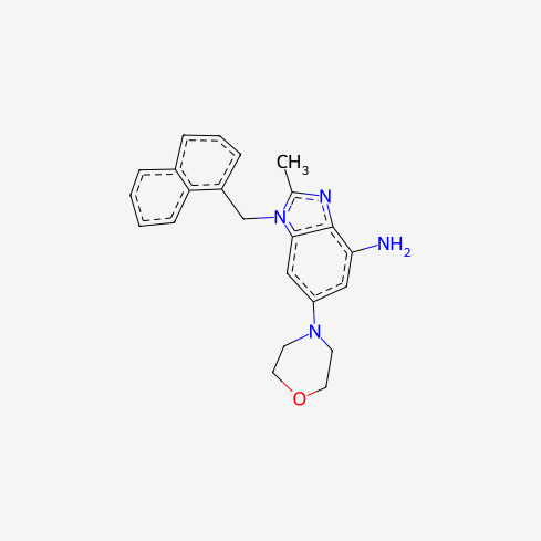 Cc1nc2c(N)cc(N3CCOCC3)cc2n1Cc1cccc2ccccc12